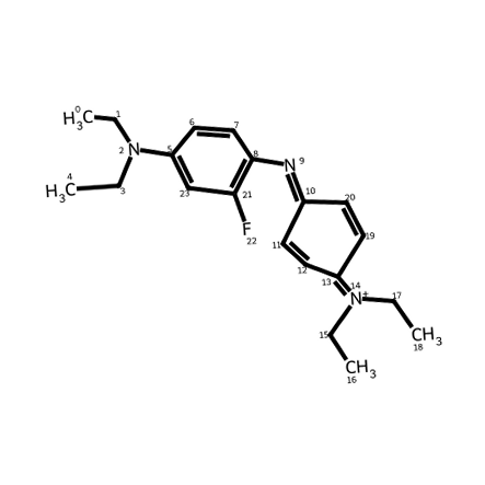 CCN(CC)c1ccc(N=C2C=CC(=[N+](CC)CC)C=C2)c(F)c1